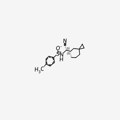 Cc1ccc([S@+]([O-])N[C@H](C#N)[C@H]2CCCC3(CC3)C2)cc1